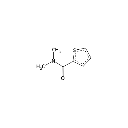 CN(C)C(=O)c1cccs1